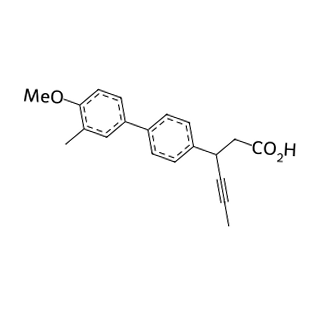 CC#CC(CC(=O)O)c1ccc(-c2ccc(OC)c(C)c2)cc1